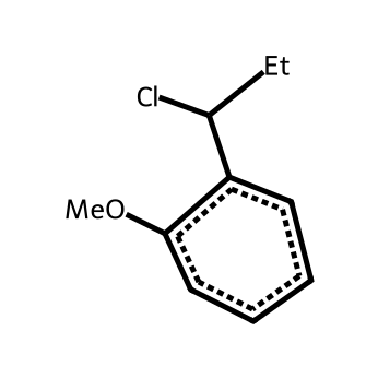 CCC(Cl)c1ccccc1OC